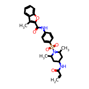 C=CC(=O)NC1CC(C)N(S(=O)(=O)c2ccc(NC(=O)c3oc4ccccc4c3C)cc2)C(C)C1